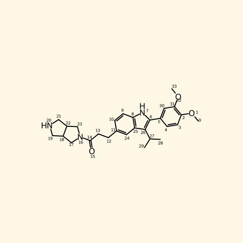 COc1ccc(-c2[nH]c3ccc(CCC(=O)N4CC5CNCC5C4)cc3c2C(C)C)cc1OC